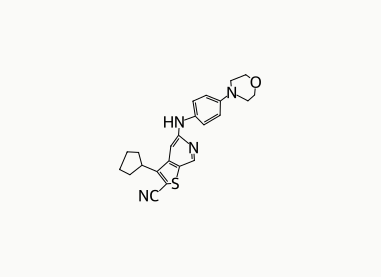 N#Cc1sc2cnc(Nc3ccc(N4CCOCC4)cc3)cc2c1C1CCCC1